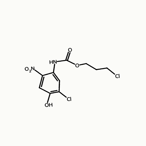 O=C(Nc1cc(Cl)c(O)cc1[N+](=O)[O-])OCCCCl